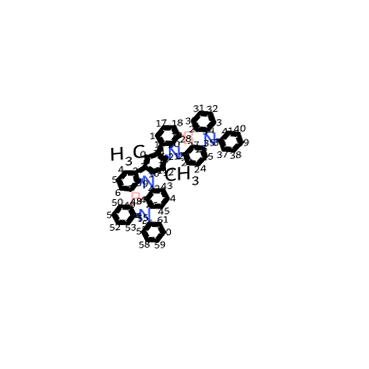 Cc1c2c3cccc4c3n(c2c(C)c2c1c1cccc3c1n2-c1cccc2c1B3c1ccccc1N2c1ccccc1)-c1cccc2c1B4c1ccccc1N2c1ccccc1